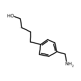 NCc1ccc(CC[CH]CO)cc1